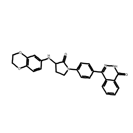 O=C1C(Nc2ccc3c(c2)OCCO3)CCN1c1ccc(-c2n[nH]c(=O)c3ccccc23)cc1